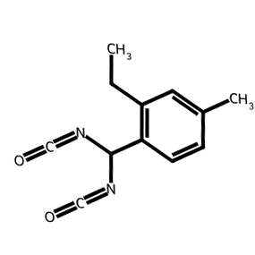 CCc1cc(C)ccc1C(N=C=O)N=C=O